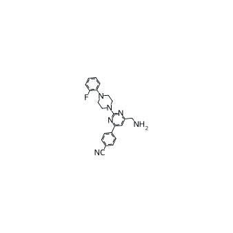 N#Cc1ccc(-c2cc(CN)nc(N3CCN(c4ccccc4F)CC3)n2)cc1